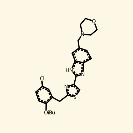 CC(C)COc1ccc(Cl)cc1Cc1nc(-c2nc3ccc(CN4CCOCC4)cc3[nH]2)cs1